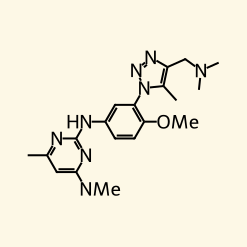 CNc1cc(C)nc(Nc2ccc(OC)c(-n3nnc(CN(C)C)c3C)c2)n1